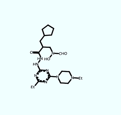 CCc1nc(NNC(=O)C(CC2CCCC2)CN(O)C=O)nc(N2CCN(CC)CC2)n1